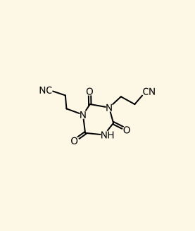 N#CCCn1c(=O)[nH]c(=O)n(CCC#N)c1=O